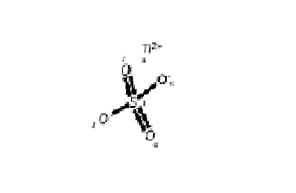 O=S(=O)([O-])[O-].[Ti+2]